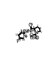 CC(C)(C)OC(=O)N1CCCC1C(=O)NNc1ccc(F)cn1